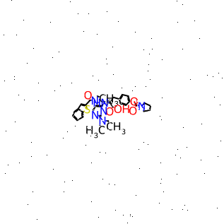 CCN(CC)c1ncc(N(CC)C(=O)c2cc3ccccc3s2)c(N[C@@H](Cc2ccc(OC(=O)N3CCCC3)cc2)C(=O)O)n1